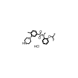 Cc1ccc(S(=O)(=O)N(C)c2ccccc2OC(F)F)cc1N1CCNCC1.Cl